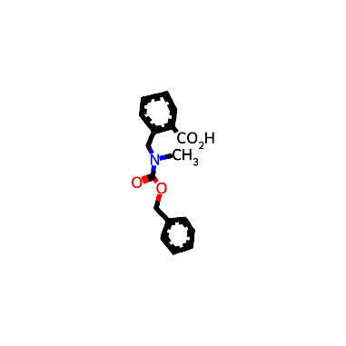 CN(Cc1ccccc1C(=O)O)C(=O)OCc1ccccc1